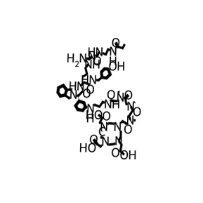 CCC(=O)NCCNC(=O)/N=C(/N)NCCC[C@@H](NC(=O)[C@H](c1cccc(NCCCNC(=O)CN(C)C(=O)CN(C)C(=O)CN(C)C(=O)CN2CCN(CC(=O)O)CCN(CC(=O)O)CCN(CC(=O)O)CC2)c1)N1Cc2ccccc2C1)C(=O)NCc1ccc(O)cc1